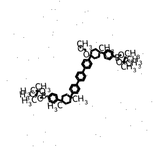 COCOC1(c2ccc(-c3ccc(-c4ccc(C5(C)CCC(C)(c6ccc(B7OC(C)(C)C(C)(C)O7)cc6)CC5)cc4)cc3)cc2)CCC(C)(c2ccc(B3OC(C)(C)C(C)(C)O3)cc2)CC1